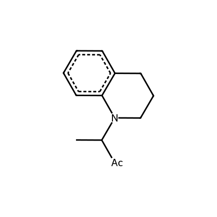 CC(=O)C(C)N1CCCc2ccccc21